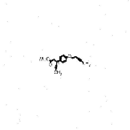 CC#CCCOc1ccc([C@@H](C#CC)CC(=O)OC)cc1